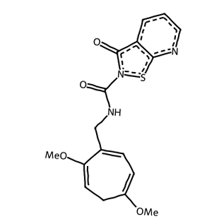 COC1=CC=C(CNC(=O)n2sc3ncccc3c2=O)C(OC)=CC1